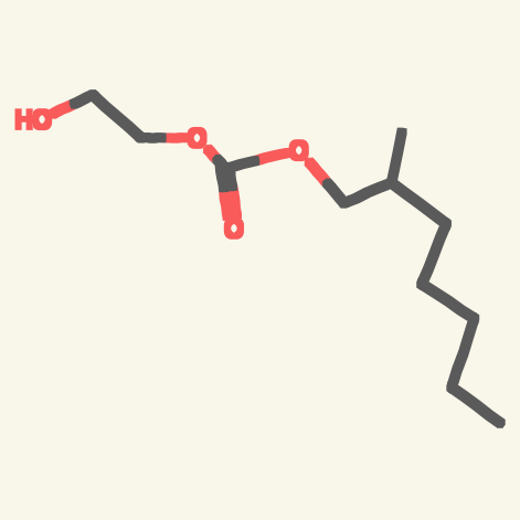 CCCCCC(C)COC(=O)OCCO